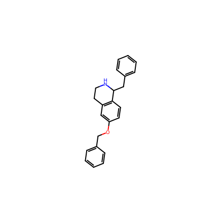 c1ccc(COc2ccc3c(c2)CCNC3Cc2ccccc2)cc1